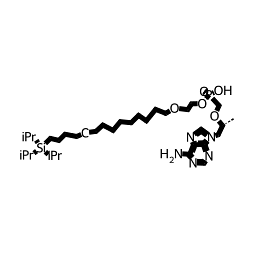 CC(C)[Si](CCCCCCCCCCCCCCOCCOP(=O)(O)CO[C@H](C)Cn1cnc2c(N)ncnc21)(C(C)C)C(C)C